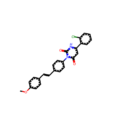 COc1ccc(C=Cc2ccc(-n3c(=O)cc(-c4ccccc4Cl)[nH]c3=O)cc2)cc1